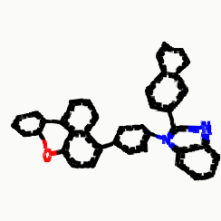 c1ccc2c(c1)Oc1ccc(-c3ccc(-n4c(-c5ccc6ccccc6c5)nc5ccccc54)cc3)c3cccc-2c13